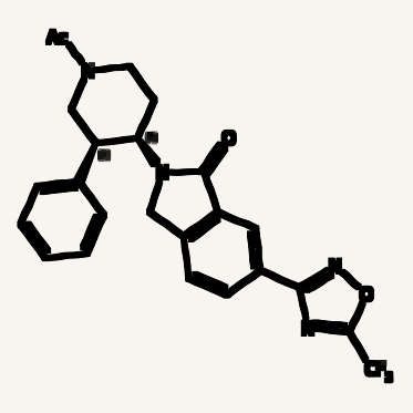 CC(=O)N1CC[C@@H](N2Cc3ccc(-c4noc(C(F)(F)F)n4)cc3C2=O)[C@@H](c2ccccc2)C1